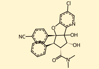 CN(C)C(=O)[C@H]1[C@@H](O)C2(O)c3ncc(Cl)cc3O[C@@]2(c2ccc(C#N)cc2)[C@@H]1c1ccccc1